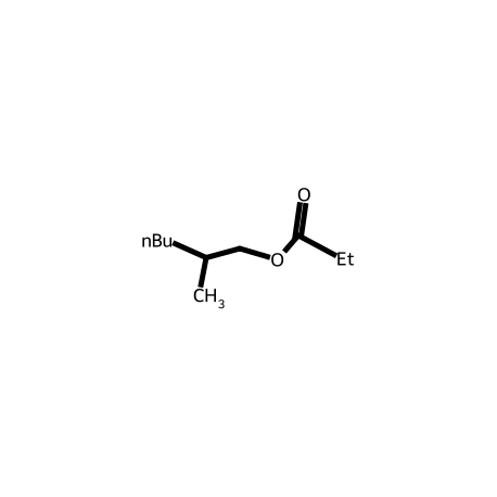 CCCCC(C)COC(=O)CC